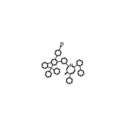 C=C1/C=C(c2cccc(-c3cc4c(cc3-c3ccc(C#N)cc3)-c3ccccc3C4(c3ccccc3)c3ccccc3)c2)\N=C(\c2ccccc2-c2ccccc2)C=C=C1c1ccccc1